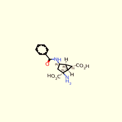 N[C@@]1(C(=O)O)C[C@@H](NC(=O)c2ccccc2)[C@H]2[C@H](C(=O)O)[C@H]21